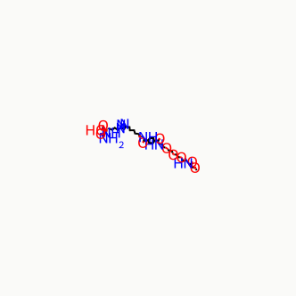 COCC(=O)NCCOCCOCCOCCNC(=O)c1ccc(C(=O)NCCCCCCc2cn(CCCC[C@H](NC(N)=O)C(=O)O)nn2)cc1